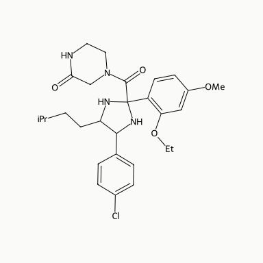 CCOc1cc(OC)ccc1C1(C(=O)N2CCNC(=O)C2)NC(CCC(C)C)C(c2ccc(Cl)cc2)N1